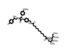 COc1ccc([C@@H]2[C@@H](CCC(O)c3ccc(F)cc3)C(=O)N2c2ccc(CNC(=O)CCCCCCCCCCC(=O)NCC(OC(C)=O)[C@@H](OC(C)=O)[C@H](OC(C)=O)[C@@H](COC(C)=O)OC(C)=O)cc2)cc1